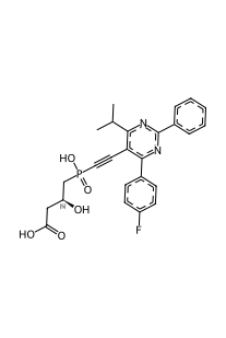 CC(C)c1nc(-c2ccccc2)nc(-c2ccc(F)cc2)c1C#CP(=O)(O)C[C@@H](O)CC(=O)O